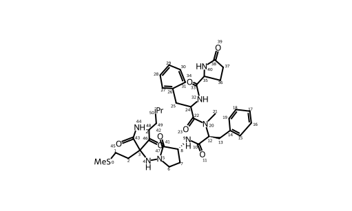 CSCCC(NN1CC[C@@H](NC(=O)[C@H](Cc2ccccc2)N(C)C(=O)C(Cc2ccccc2)NC(=O)C2CCC(=O)N2)C1=O)(C(N)=O)C(=O)CCC(C)C